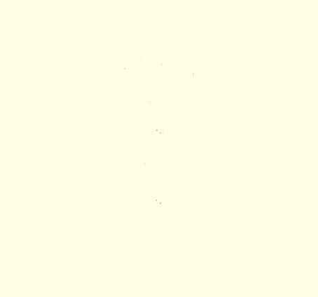 c1cn2cc(CNC34CC5CC(CC(C5)C3)C4)cc2s1